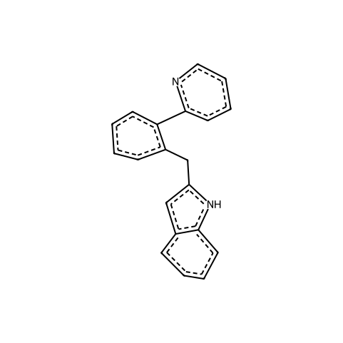 c1ccc(-c2ccccc2Cc2cc3ccccc3[nH]2)nc1